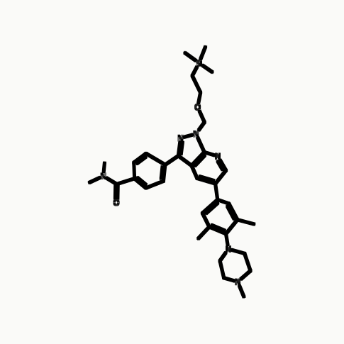 Cc1cc(-c2cnc3c(c2)c(-c2ccc(C(=O)N(C)C)cc2)nn3COCC[Si](C)(C)C)cc(C)c1N1CCN(C)CC1